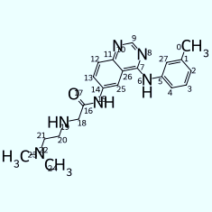 Cc1cccc(Nc2ncnc3ccc(NC(=O)CNCCN(C)C)cc23)c1